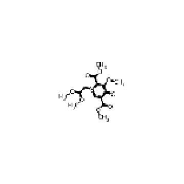 COC(=O)c1cn(CC(OC)OC)c(C(=O)OC)c(OC)c1=O